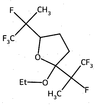 CCOC1(C(C)(F)C(F)(F)F)CCC(C(C)(F)C(F)(F)F)O1